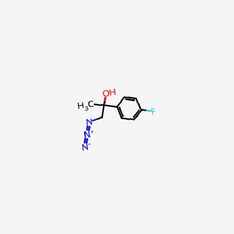 CC(O)(CN=[N+]=[N-])c1ccc(F)cc1